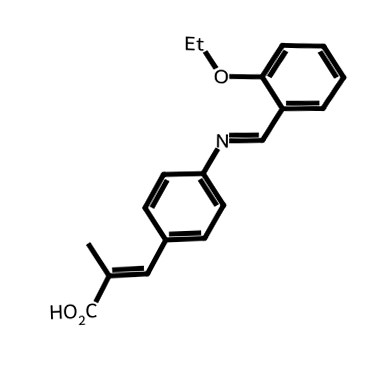 CCOc1ccccc1/C=N/c1ccc(/C=C(\C)C(=O)O)cc1